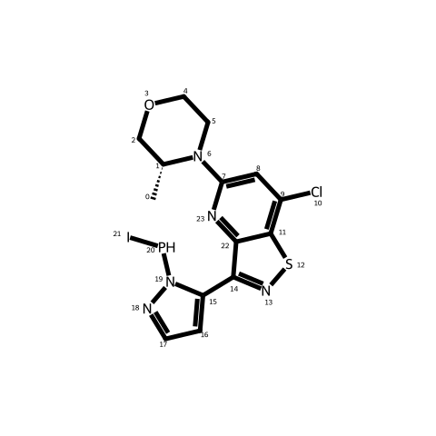 C[C@@H]1COCCN1c1cc(Cl)c2snc(-c3ccnn3PI)c2n1